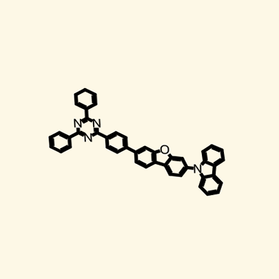 C1=CC(c2nc(-c3ccccc3)nc(-c3ccc(-c4ccc5c(c4)oc4cc(-n6c7ccccc7c7ccccc76)ccc45)cc3)n2)=CCC1